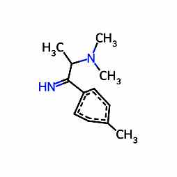 Cc1ccc(C(=N)C(C)N(C)C)cc1